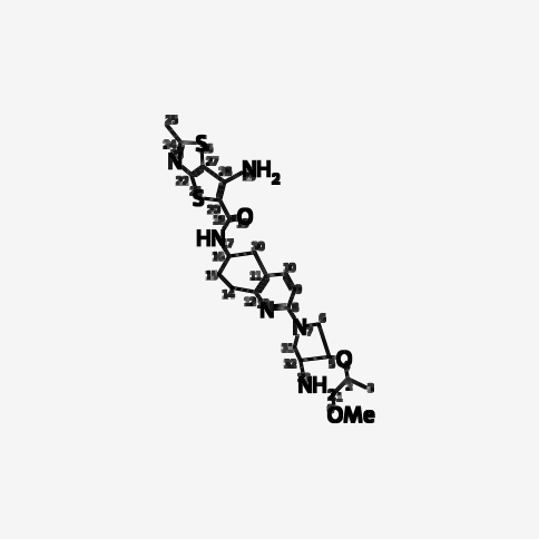 COCC(C)OC1CN(c2ccc3c(n2)CCC(NC(=O)c2sc4nc(C)sc4c2N)C3)CC1N